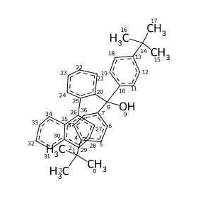 CC(C)(C)c1ccc(C(O)(c2ccc(C(C)(C)C)cc2)c2ccccc2-c2cccc3ccccc23)cc1